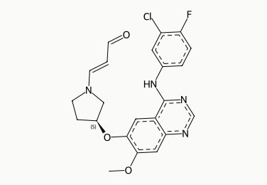 COc1cc2ncnc(Nc3ccc(F)c(Cl)c3)c2cc1O[C@H]1CCN(C=CC=O)C1